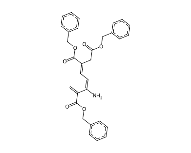 C=C(C(=O)OCc1ccccc1)/C(N)=C\C=C(/CC(=O)OCc1ccccc1)C(=O)OCc1ccccc1